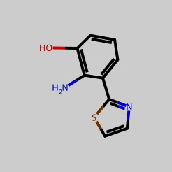 Nc1c(O)cccc1-c1nccs1